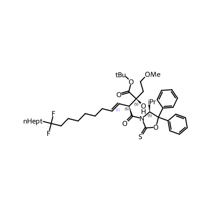 CCCCCCCC(F)(F)CCCCCC/C=C/[C@H](C(=O)N1C(=S)OC(c2ccccc2)(c2ccccc2)[C@@H]1C(C)C)[C@@](O)(CCOC)C(=O)OC(C)(C)C